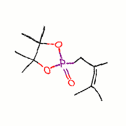 CC(C)=C(C)CP1(=O)OC(C)(C)C(C)(C)O1